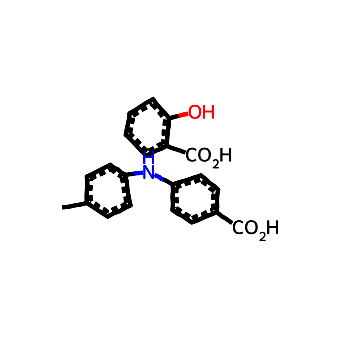 Cc1ccc(Nc2ccc(C(=O)O)cc2)cc1.O=C(O)c1ccccc1O